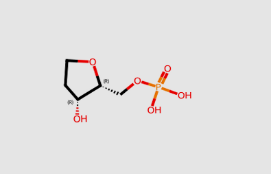 O=P(O)(O)OC[C@H]1OCC[C@H]1O